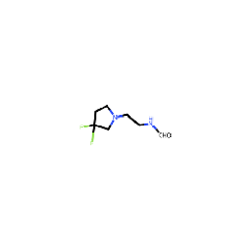 O=CNCCN1CCC(F)(F)C1